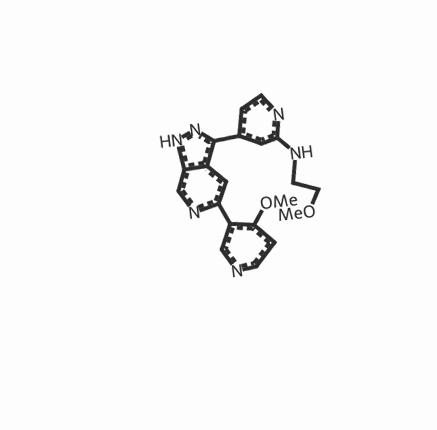 COCCNc1cc(-c2n[nH]c3cnc(-c4cnccc4OC)cc23)ccn1